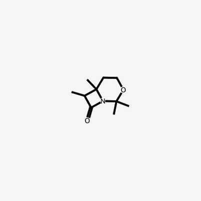 CC1C(=O)N2C(C)(C)OCCC12C